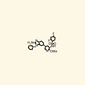 COc1ncc(-c2ccc3nc(N)n(Cc4ccccc4)c3c2)cc1NS(=O)(=O)c1ccc(F)cc1F